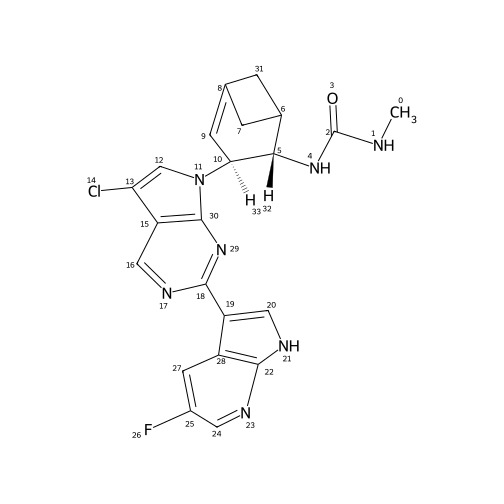 CNC(=O)N[C@H]1C2CC(=C[C@@H]1n1cc(Cl)c3cnc(-c4c[nH]c5ncc(F)cc45)nc31)C2